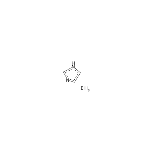 [BiH3].c1c[nH]cn1